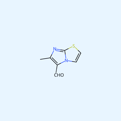 Cc1nc2sccn2c1C=O